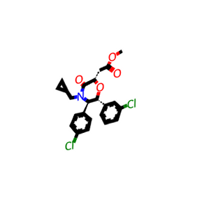 COC(=O)C[C@@H]1O[C@H](c2cccc(Cl)c2)[C@@H](c2ccc(Cl)cc2)N(CC2CC2)C1=O